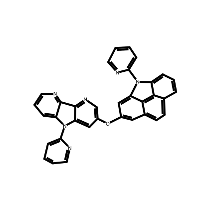 c1ccc(-n2c3cccnc3c3ncc(Oc4cc5ccc6cccc7c6c5c(c4)n7-c4ccccn4)cc32)nc1